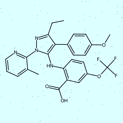 CCc1nn(-c2ncccc2C)c(Nc2ccc(OC(F)(F)F)cc2C(=O)O)c1-c1ccc(OC)cc1